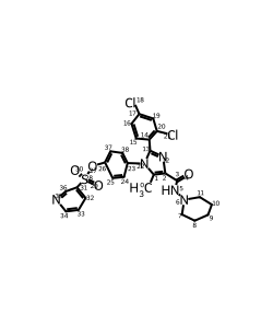 Cc1c(C(=O)NN2CCCCC2)nc(-c2ccc(Cl)cc2Cl)n1-c1ccc(OS(=O)(=O)c2cccnc2)cc1